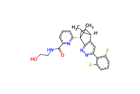 CC1(C)[C@H]2CC[C@]1(c1cccc(C(=O)NCCO)n1)c1nnc(-c3c(F)cccc3F)cc12